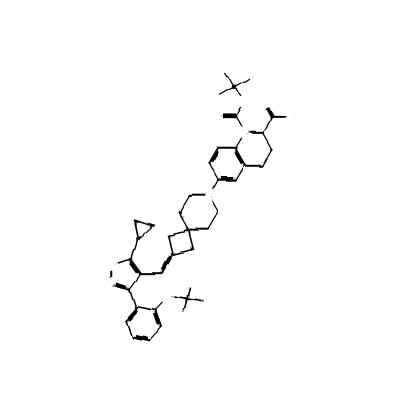 CC(C)(C)OC(=O)N1c2ccc(N3CCC4(CC3)CC(=Cc3c(-c5ccccc5OC(F)(F)F)noc3C3CC3)C4)cc2CCC1C(=O)O